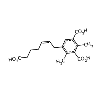 Cc1c(C/C=C\CCCC(=O)O)cc(C(=O)O)c(C)c1C(=O)O